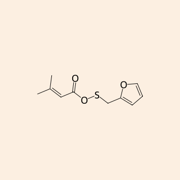 CC(C)=CC(=O)OSCc1ccco1